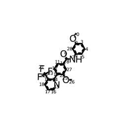 COc1cccc(NC(=O)c2ccc(-c3ncccc3C(F)(F)F)c(OC)c2)c1